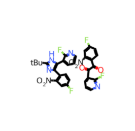 CC(C)(C)c1nc(-c2ccc(F)cc2[N+](=O)[O-])c(-c2cccnc2F)[nH]1.O=C(C(=O)c1cccnc1F)c1ccc(F)cc1[N+](=O)[O-]